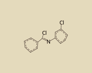 ClC(=Nc1cccc(Cl)c1)c1ccccc1